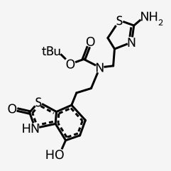 CC(C)(C)OC(=O)N(CCc1ccc(O)c2[nH]c(=O)sc12)CC1CSC(N)=N1